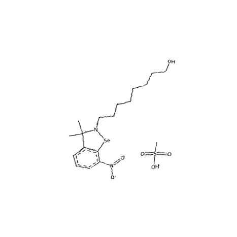 CC1(C)c2cccc([N+](=O)[O-])c2[Se]N1CCCCCCCCO.CS(=O)(=O)O